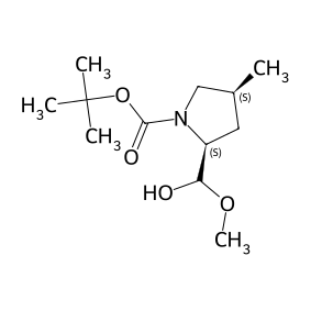 COC(O)[C@@H]1C[C@H](C)CN1C(=O)OC(C)(C)C